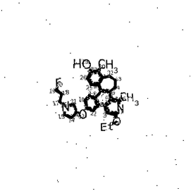 CCOc1ccc(C2=C(c3ccc(O[C@H]4CCN(CCCF)C4)cc3)c3ccc(O)c(C)c3CCC2)c(C)n1